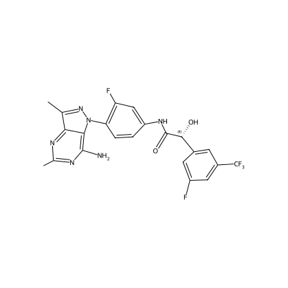 Cc1nc(N)c2c(n1)c(C)nn2-c1ccc(NC(=O)[C@H](O)c2cc(F)cc(C(F)(F)F)c2)cc1F